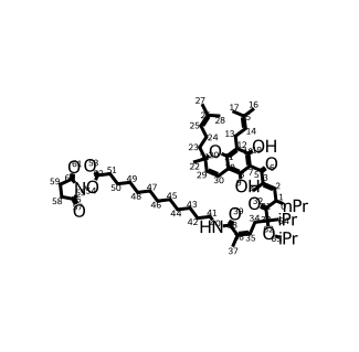 CCCC(/C=C(\C)C(=O)c1c(O)c2c(c(CC=C(C)C)c1O)OC(C)(CCC=C(C)C)C=C2)C(=O)C(C/C=C(/C)C(=O)NCCCCCCCCCCCC(=O)ON1C(=O)CCC1=O)(OC(C)C)C(C)C